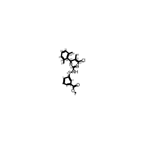 COC(=O)c1cccc(SNc2nc(Cl)c(C)c(-c3c(C)cccc3C)n2)c1